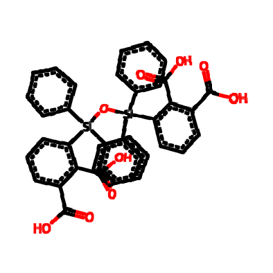 O=C(O)c1cccc([Si](O[Si](c2ccccc2)(c2ccccc2)c2cccc(C(=O)O)c2C(=O)O)(c2ccccc2)c2ccccc2)c1C(=O)O